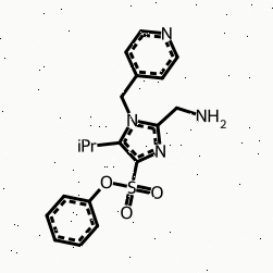 CC(C)c1c(S(=O)(=O)Oc2ccccc2)nc(CN)n1Cc1ccncc1